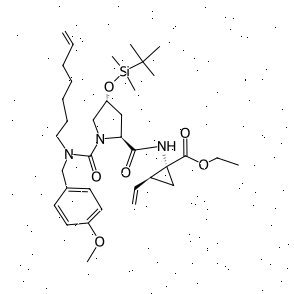 C=CCCCCCN(Cc1ccc(OC)cc1)C(=O)N1C[C@H](O[Si](C)(C)C(C)(C)C)C[C@H]1C(=O)N[C@]1(C(=O)OCC)C[C@H]1C=C